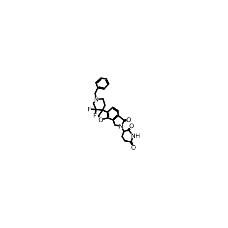 O=C1CCC(N2Cc3c(ccc4c3OCC43CCN(Cc4ccccc4)CC3(F)F)C2=O)C(=O)N1